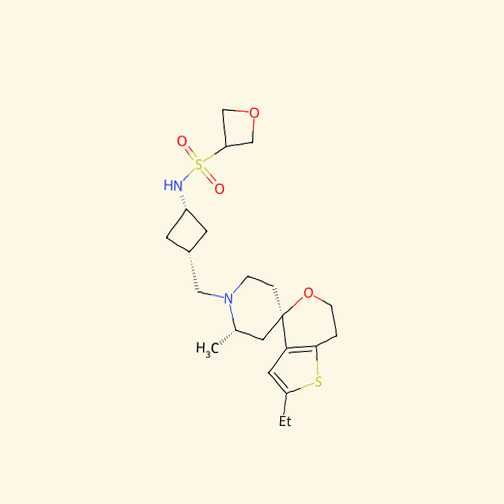 CCc1cc2c(s1)CCO[C@@]21CCN(C[C@H]2C[C@@H](NS(=O)(=O)C3COC3)C2)[C@@H](C)C1